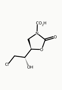 O=C(O)N1C[C@H]([C@H](O)CCl)OC1=O